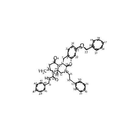 CN1CC(=O)N2[C@@H](Cc3ccc(OCc4ccccc4)cc3)C(=O)N(CCc3ccccc3)C[C@@H]2N1C(=O)NCc1ccccc1